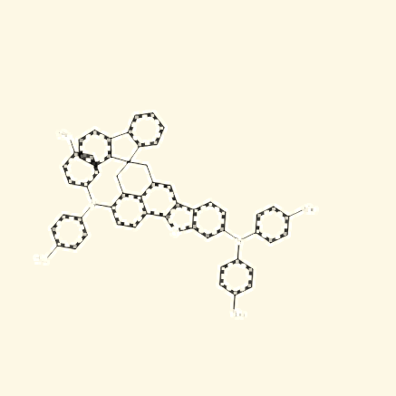 CC(C)(C)c1ccc(N(c2ccc(C(C)(C)C)cc2)c2ccc3c(c2)oc2c4ccc(N(c5ccc(C(C)(C)C)cc5)c5ccc(C(C)(C)C)cc5)c5c4c(cc32)CC2(C5)c3ccccc3-c3ccccc32)cc1